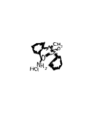 CN(c1ccccc1CN)S(=O)(=O)c1ccccc1.Cl